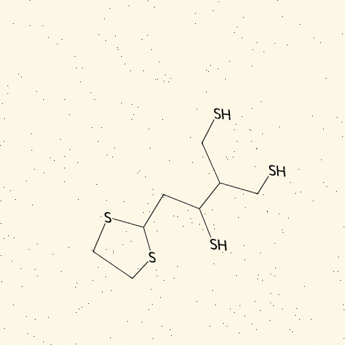 SCC(CS)C(S)CC1SCCS1